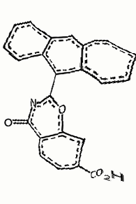 O=C(O)c1ccc2c(=O)nc(-c3c4ccccc4cc4ccccc34)oc2c1